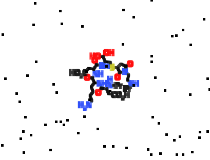 CC(C)NCCN1C(=O)CC(SCC(NC(=O)C(CC(=O)O)NC(=O)C(CCCCN)NC(=O)C(CC(=O)O)NC(C)C)C(O)O)C1=O